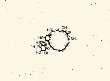 CC1O[C@@H](O[C@H]2/C=C/C=C/C=C/C=C/C[C@@H](C)OC(=O)C[C@@H](O)/C=C/C[C@H](O)C[C@]3(O)C[C@H](O)[C@@H](C(=O)O)[C@H](C2)O3)C(O)C(O)[C@@H]1C